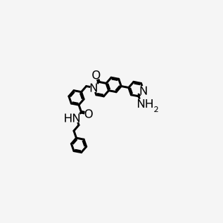 Nc1cc(-c2ccc3c(=O)n(Cc4cccc(C(=O)NCCc5ccccc5)c4)ccc3c2)ccn1